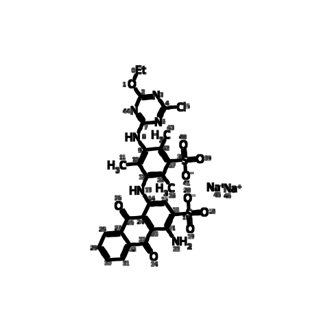 CCOc1nc(Cl)nc(Nc2c(C)c(Nc3cc(S(=O)(=O)[O-])c(N)c4c3C(=O)c3ccccc3C4=O)c(C)c(S(=O)(=O)[O-])c2C)n1.[Na+].[Na+]